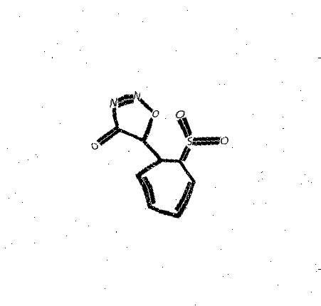 O=C1N=NOC1C1C=CC=CC1=S(=O)=O